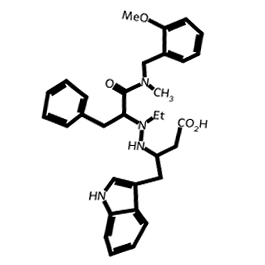 CCN(NC(CC(=O)O)Cc1c[nH]c2ccccc12)C(Cc1ccccc1)C(=O)N(C)Cc1ccccc1OC